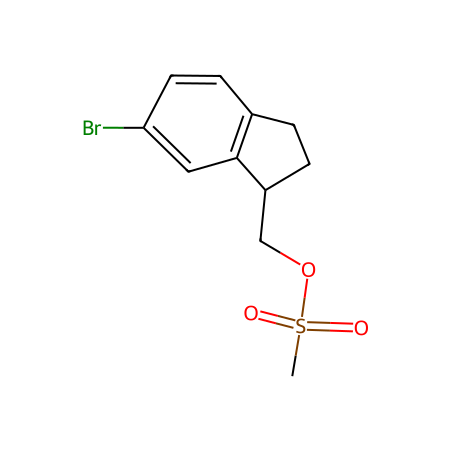 CS(=O)(=O)OCC1CCc2ccc(Br)cc21